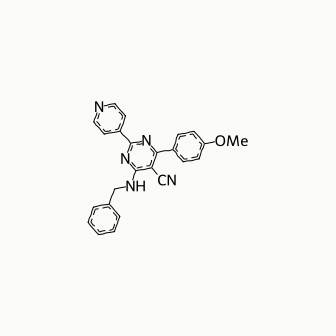 COc1ccc(-c2nc(-c3ccncc3)nc(NCc3ccccc3)c2C#N)cc1